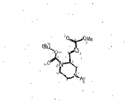 COC(=O)OCC1CN(C(C)=O)CCN1C(=O)OC(C)(C)C